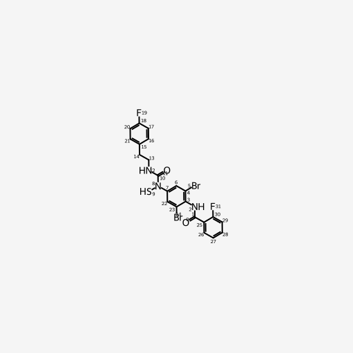 O=C(Nc1c(Br)cc(N(S)C(=O)NCCc2ccc(F)cc2)cc1Br)c1ccccc1F